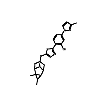 Cc1ccn(-c2ccc(-c3nnc(OC4CC5C6C(C)C6(C)C(C4)N5C)s3)c(O)c2)n1